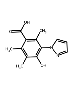 Cc1c(C)c(C(=O)O)c(C)c(-n2cccn2)c1O